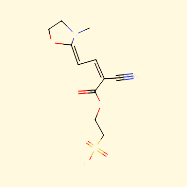 CN1CCO/C1=C/C=C(/C#N)C(=O)OCCS(=O)(=O)O